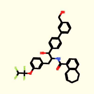 O=C(NC(Cc1cccc(OC(F)(F)C(F)F)c1)C(O)c1ccc(-c2cccc(CO)c2)cc1)c1cccc2c1C=CCCC2